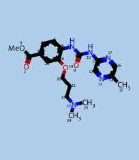 COC(=O)c1ccc(NC(=O)Nc2cnc(C)cn2)c(OCCCN(C)C)c1